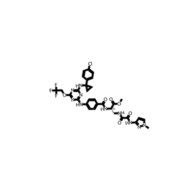 COC(=O)[C@H](CNC(=O)C(=O)Nc1ccn(C)n1)NC(=O)c1ccc(Nc2nc(NC3(c4ccc(Cl)cc4)CC3)nc(OCC(F)(F)F)n2)cc1